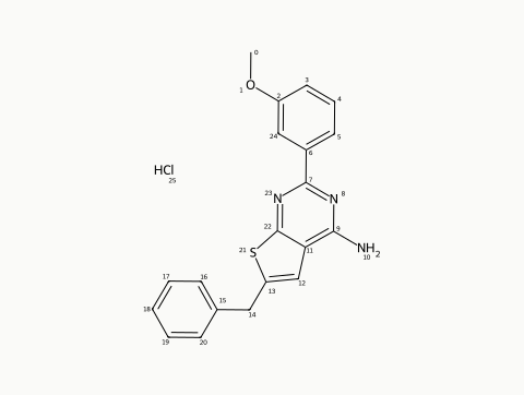 COc1cccc(-c2nc(N)c3cc(Cc4ccccc4)sc3n2)c1.Cl